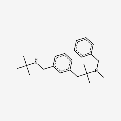 CN(Cc1ccccc1)C(C)(C)Cc1cccc(CNC(C)(C)C)c1